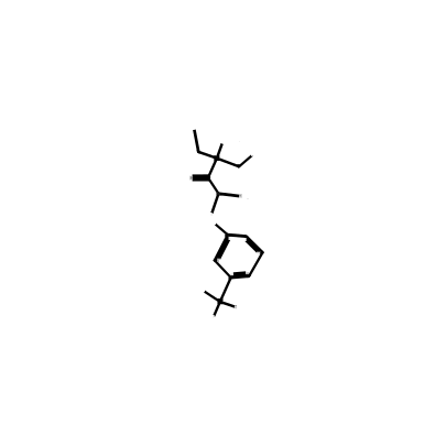 CC(CF)(CF)C(=O)C(Br)Oc1cccc(C(F)(F)F)c1